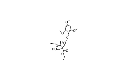 CCOC(=O)C(CO)(COCSCc1c(OC)cc(OC)cc1OC)C(=O)OCC